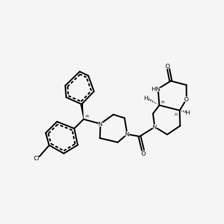 O=C1CO[C@H]2CCN(C(=O)N3CCN([C@H](c4ccccc4)c4ccc(Cl)cc4)CC3)C[C@H]2N1